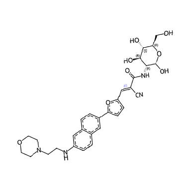 N#C/C(=C\c1ccc(-c2ccc3cc(NCCN4CCOCC4)ccc3c2)o1)C(=O)N[C@H]1C(O)O[C@H](CO)[C@@H](O)[C@@H]1O